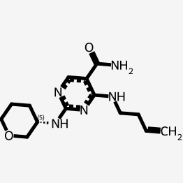 C=CCCNc1nc(N[C@H]2CCCOC2)ncc1C(N)=O